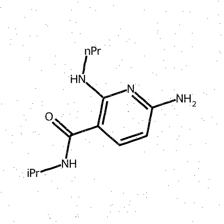 CCCNc1nc(N)ccc1C(=O)NC(C)C